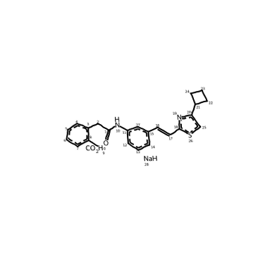 O=C(Cc1ccccc1C(=O)O)Nc1cccc(C=Cc2nc(C3CCC3)cs2)c1.[NaH]